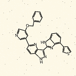 c1ccc(COc2cncc(-c3ccc4[nH]nc(-c5nc6c(-c7ccsc7)cccc6[nH]5)c4n3)c2)cc1